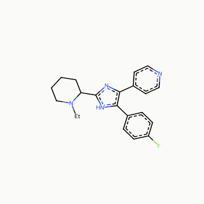 CCN1CCCCC1c1nc(-c2ccncc2)c(-c2ccc(F)cc2)[nH]1